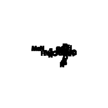 CNCCNc1nc2ccc(S(=O)(=O)N(CC(C)C)C[C@@H](O)[C@H](Cc3ccccc3)NC(=O)OCc3cncs3)cc2s1